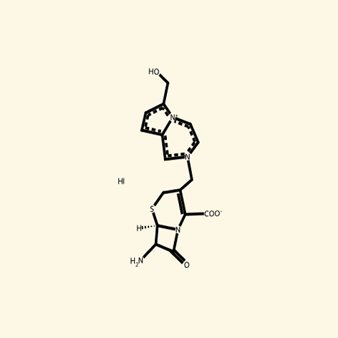 I.NC1C(=O)N2C(C(=O)[O-])=C(Cn3cc[n+]4c(CO)ccc-4c3)CS[C@H]12